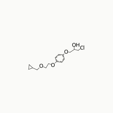 OC(CCl)COc1ccc(OCCOCC2CC2)cc1